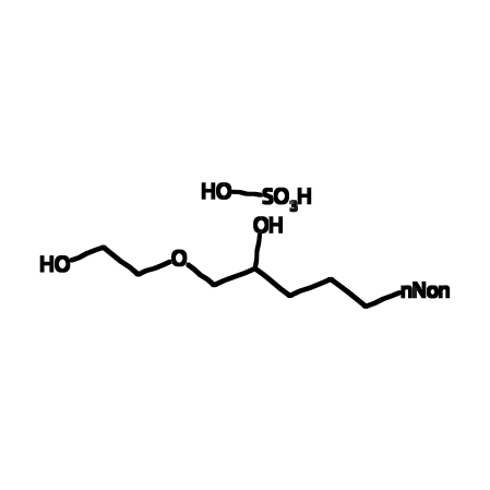 CCCCCCCCCCCCC(O)COCCO.O=S(=O)(O)O